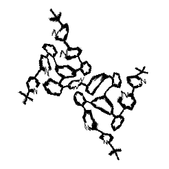 CC(C)(C)c1ccc(-c2ccc(-c3ccccc3-c3cc(-c4ccccc4-c4ccc(-c5ncc(-c6ccccc6-c6cc(-c7ccccc7-c7ccc(-c8ccc(C(C)(C)C)nc8)nc7)cc(-c7ccccc7-c7ccc(-c8ccc(C(C)(C)C)nc8)nc7)c6)cn5)cc4)cc(-c4ccccc4-c4ccc(-c5ccc(C(C)(C)C)nc5)nc4)c3)cn2)cn1